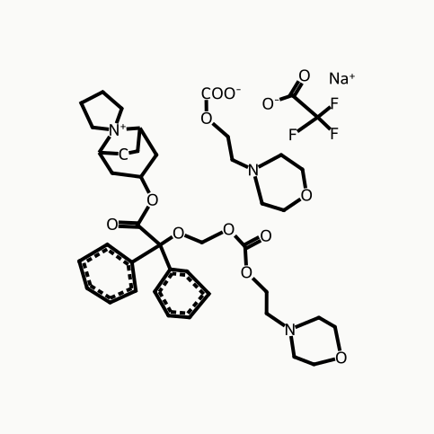 O=C(OCCN1CCOCC1)OCOC(C(=O)OC1CC2CCC(C1)[N+]21CCCC1)(c1ccccc1)c1ccccc1.O=C([O-])C(F)(F)F.O=C([O-])OCCN1CCOCC1.[Na+]